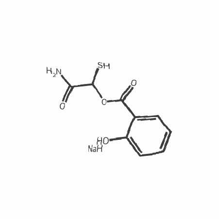 NC(=O)C(S)OC(=O)c1ccccc1O.[NaH]